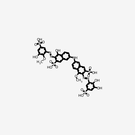 COc1c(O)cc(S(=O)(=O)O)cc1N=Nc1c(S(=O)(=O)O)cc2cc(Nc3ccc4c(OC)c(N=Nc5cc(S(=O)(=O)O)cc(O)c5O)c(S(=O)(=O)O)cc4c3)ccc2c1O